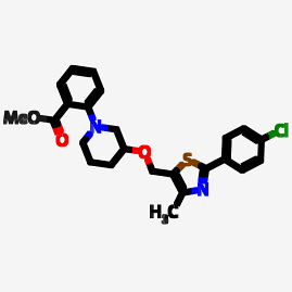 COC(=O)c1ccccc1N1CCCC(OCc2sc(-c3ccc(Cl)cc3)nc2C)C1